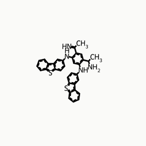 CC(=N)c1cc(C(C)N)c(Nc2ccc3sc4ccccc4c3c2)cc1Nc1ccc2sc3ccccc3c2c1